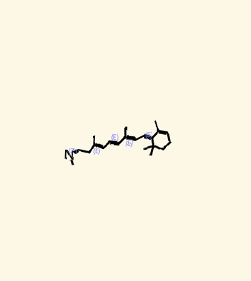 C/N=C\C/C(C)=C/C=C/C(C)=C/C=C1/C(C)=CCCC1(C)C